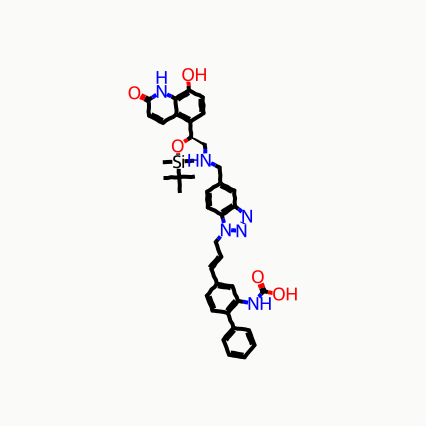 CC(C)(C)[Si](C)(C)O[C@H](CNCc1ccc2c(c1)nnn2C/C=C/c1ccc(-c2ccccc2)c(NC(=O)O)c1)c1ccc(O)c2[nH]c(=O)ccc12